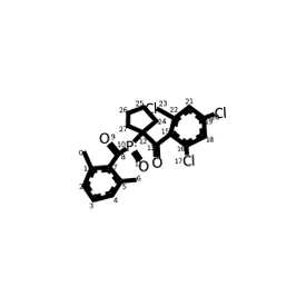 Cc1cccc(C)c1C(=O)[P](=O)C1(C(=O)c2c(Cl)cc(Cl)cc2Cl)CCCC1